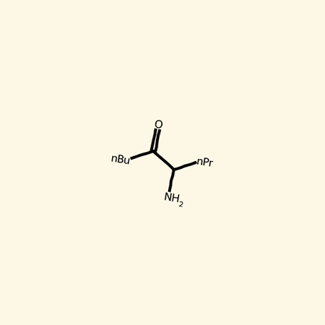 [CH2]CCC(N)C(=O)CCCC